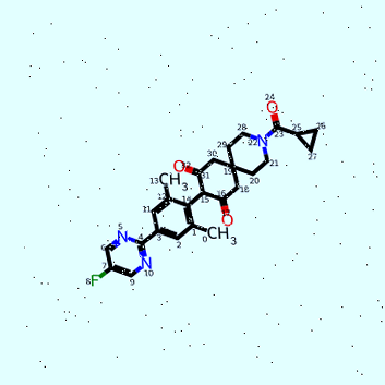 Cc1cc(-c2ncc(F)cn2)cc(C)c1C1C(=O)CC2(CCN(C(=O)C3CC3)CC2)CC1=O